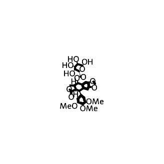 COc1cc([C@@H]2c3cc4c(cc3[C@H](OC(=O)[C@H]3O[C@@H](O)[C@H](O)[C@@H](O)[C@@H]3O)[C@H]3COC(=O)[C@H]23)OCO4)cc(OC)c1OC